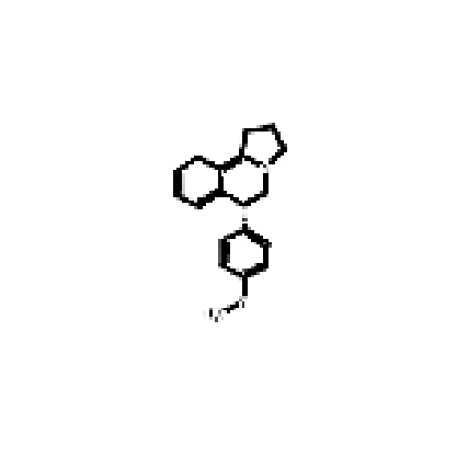 CSc1ccc([C@H]2CN3CCCC3=C3CC=CC=C32)cc1